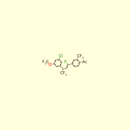 CC(=O)c1ccc(/C(F)=C/C(c2cc(Cl)cc(OC(F)(F)F)c2)C(F)(F)F)cc1C(F)(F)F